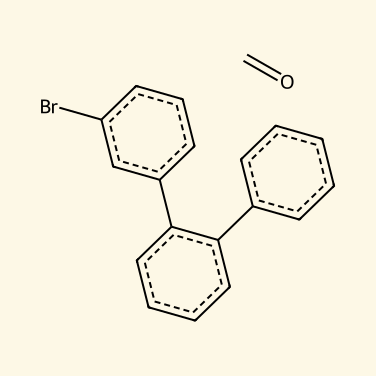 Brc1cccc(-c2ccccc2-c2ccccc2)c1.C=O